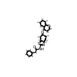 O=C(Cc1ccccc1)Nc1nc2ccc(Oc3ccnc4ccccc34)cc2s1